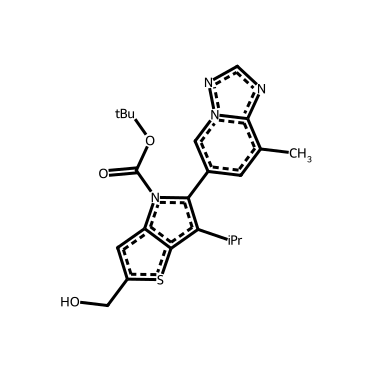 Cc1cc(-c2c(C(C)C)c3sc(CO)cc3n2C(=O)OC(C)(C)C)cn2ncnc12